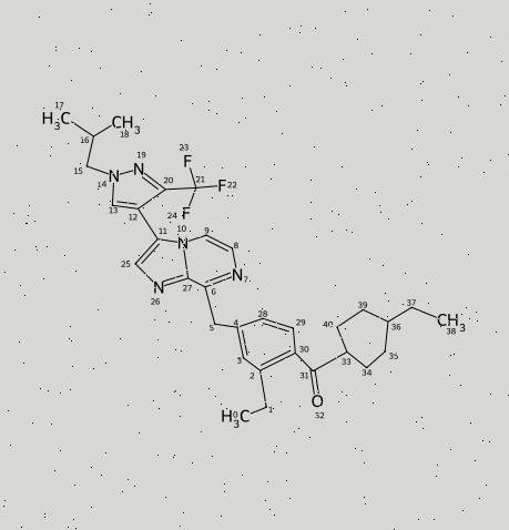 CCc1cc(Cc2nccn3c(-c4cn(CC(C)C)nc4C(F)(F)F)cnc23)ccc1C(=O)C1CCC(CC)CC1